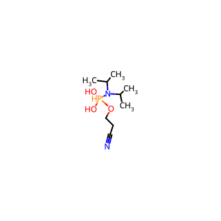 CC(C)N(C(C)C)[PH](O)(O)OCCC#N